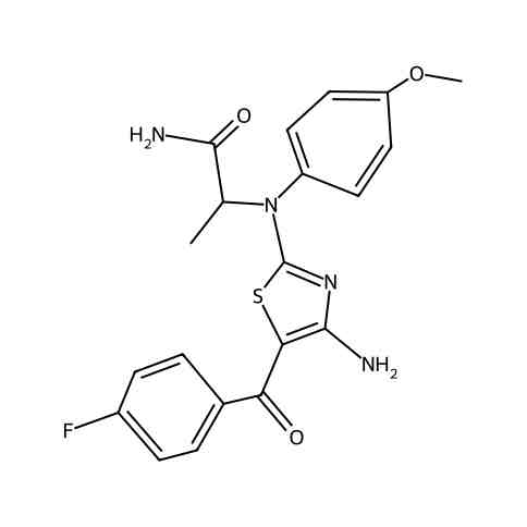 COc1ccc(N(c2nc(N)c(C(=O)c3ccc(F)cc3)s2)C(C)C(N)=O)cc1